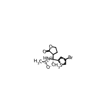 C[S+]([O-])N[C@](C)(c1cc(Br)cs1)C1CCOC1=O